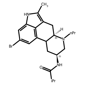 CCCN1C[C@@H](NC(=O)C(C)C)CC2c3cc(Br)cc4[nH]c(C)c(c34)C[C@H]21